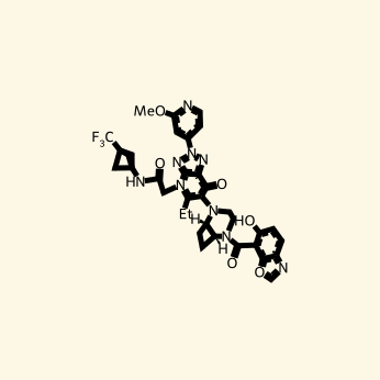 CCc1c(N2CCN(C(=O)c3c(O)ccc4ncoc34)[C@H]3CC[C@@H]32)c(=O)c2nn(-c3ccnc(OC)c3)nc2n1CC(=O)NC12CC(C(F)(F)F)(C1)C2